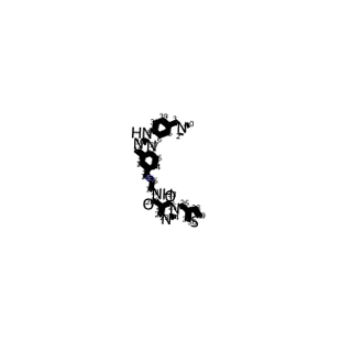 CN(C)Cc1ccc(Nc2ncc3cc(/C=C/CNC(=O)c4cncn(Cc5ccsc5)c4=O)ccc3n2)cc1